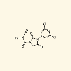 C#CN(C(=O)N1CC(=O)N(c2cc(Cl)cc(Cl)c2)C1=O)C(C)C